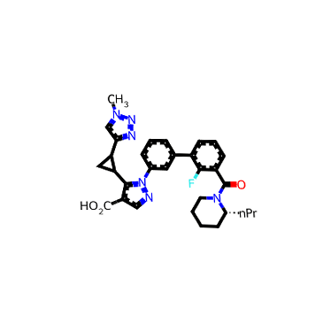 CCC[C@@H]1CCCCN1C(=O)c1cccc(-c2cccc(-n3ncc(C(=O)O)c3C3CC3c3cn(C)nn3)c2)c1F